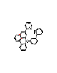 c1ccc(-c2ccccc2N(c2cccc(-c3ccccn3)c2)c2cccc(-c3ccccn3)c2)cc1